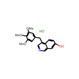 COc1cc(Cc2cncc3cc(O)ccc23)cc(OC)c1OC.Cl